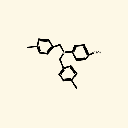 COc1ccc(N(Cc2ccc(C)cc2)Cc2ccc(C)cc2)cc1